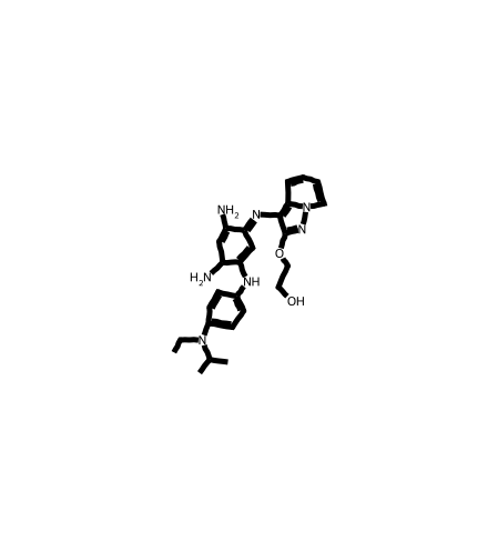 CCN(c1ccc(NC2=CC(=Nc3c(OCCO)nn4ccccc34)C(N)=CC2N)cc1)C(C)C